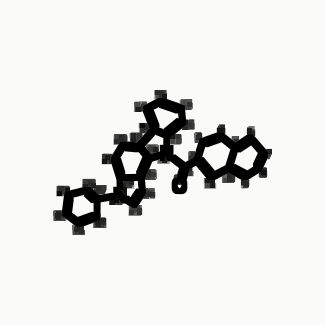 O=C(c1ccc2ccccc2c1)n1c2ccccc2c2ccc3c(ccn3-c3ccccc3)c21